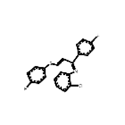 Fc1ccc(SC=CC(=Nc2ccccc2Cl)c2ccc(Cl)cc2)cc1